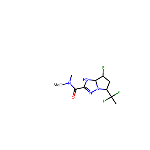 CON(C)C(=O)C1=NN2C(N1)C(F)CC2C(C)(F)F